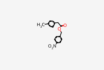 Cc1ccc(CC(=O)OCc2ccc([N+](=O)[O-])cc2)cc1